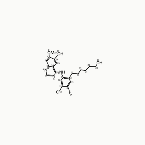 COc1cc2ncnc(Nc3cc(Cl)c(F)cc3C[CH]CCCCO)c2cc1O